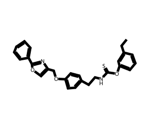 CCc1cccc(OC(=S)NCCc2ccc(OCc3coc(-c4ccccc4)n3)cc2)c1